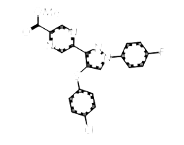 COC(=O)c1cnc(-c2nn(-c3ccc(F)cc3)cc2Sc2ccc(Cl)cc2)cn1